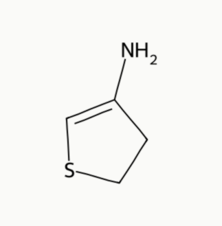 NC1=CSCC1